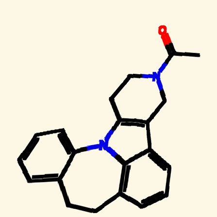 CC(=O)N1CCc2c(c3cccc4c3n2-c2ccccc2CC4)C1